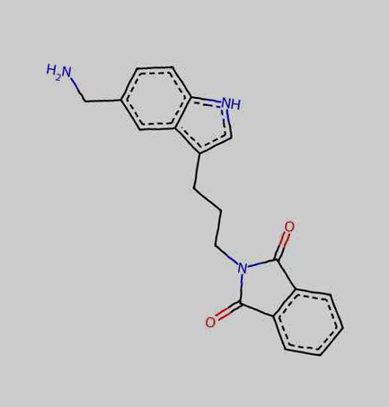 NCc1ccc2[nH]cc(CCCN3C(=O)c4ccccc4C3=O)c2c1